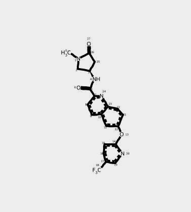 CN1C[C@H](NC(=O)c2ccc3cc(Oc4ccc(C(F)(F)F)cn4)ccc3n2)CC1=O